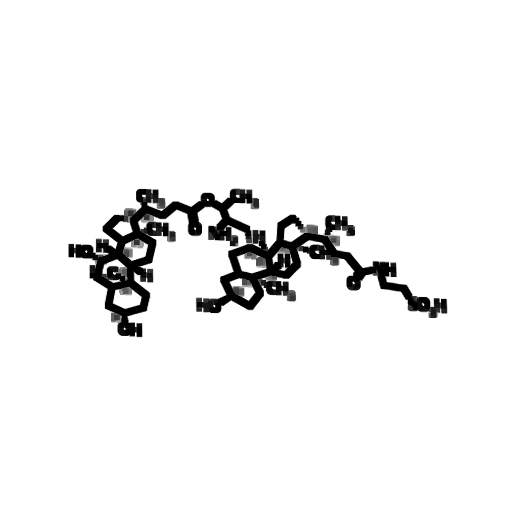 CC(OC(=O)CC[C@@H](C)[C@H]1CCC2[C@H]3[C@@H](O)CC4C[C@H](O)CC[C@]4(C)[C@H]3CC[C@@]21C)C(N)C[C@H]1CC2C[C@H](O)CC[C@]2(C)[C@H]2CC[C@@]3(C)C(CC[C@@H]3[C@H](C)CCC(=O)NCCS(=O)(=O)O)[C@H]12